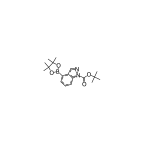 CC(C)(C)OC(=O)n1ncc2c(B3OC(C)(C)C(C)(C)O3)cccc21